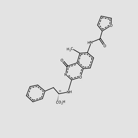 Cc1c(NC(=O)c2ccco2)ccc2oc(N[C@@H](Cc3ccccc3)C(=O)O)nc(=O)c12